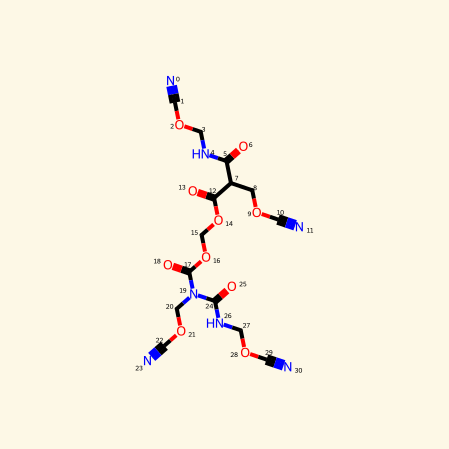 N#COCNC(=O)C(COC#N)C(=O)OCOC(=O)N(COC#N)C(=O)NCOC#N